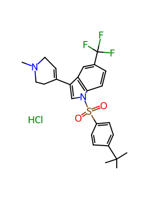 CN1CC=C(c2cn(S(=O)(=O)c3ccc(C(C)(C)C)cc3)c3ccc(C(F)(F)F)cc23)CC1.Cl